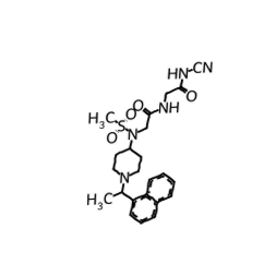 CC(c1cccc2ccccc12)N1CCC(N(CC(=O)NCC(=O)NC#N)S(C)(=O)=O)CC1